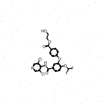 O=C(Nc1c(Cl)cncc1Cl)c1ccc(OC(F)F)c(Oc2ccc(C(=O)OCCO)cc2)c1